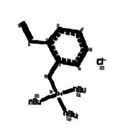 C=Cc1ccccc1C[P+](CCCC)(CCCC)CCCC.[Cl-]